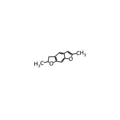 Cc1cc2cc3c(cc2o1)OC(C)C3